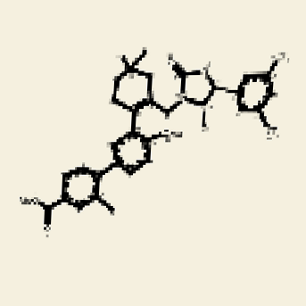 COC(=O)c1ccc(-c2ccc(OC)c(C3=C(CN4C(=O)O[C@@H](c5cc(C(F)(F)F)cc(C(F)(F)F)c5)[C@H]4C)CC(C)(C)CC3)c2)c(C)c1